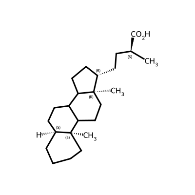 C[C@@H](CC[C@H]1CCC2C3CC[C@@H]4CCCC[C@]4(C)C3CC[C@@]21C)C(=O)O